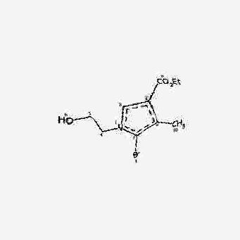 CCOC(=O)c1cn(CCO)c(Br)c1C